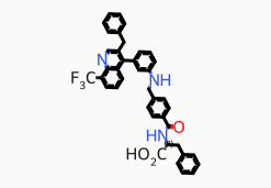 O=C(N[C@H](Cc1ccccc1)C(=O)O)c1ccc(CNc2cccc(-c3c(Cc4ccccc4)cnc4c(C(F)(F)F)cccc34)c2)cc1